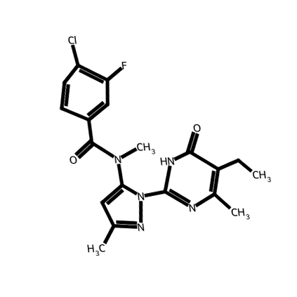 CCc1c(C)nc(-n2nc(C)cc2N(C)C(=O)c2ccc(Cl)c(F)c2)[nH]c1=O